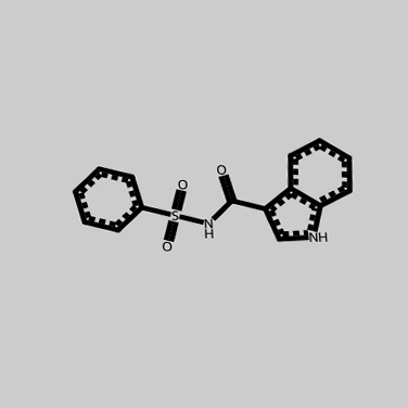 O=C(NS(=O)(=O)c1ccccc1)c1c[nH]c2ccccc12